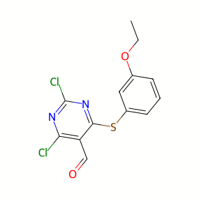 CCOc1cccc(Sc2nc(Cl)nc(Cl)c2C=O)c1